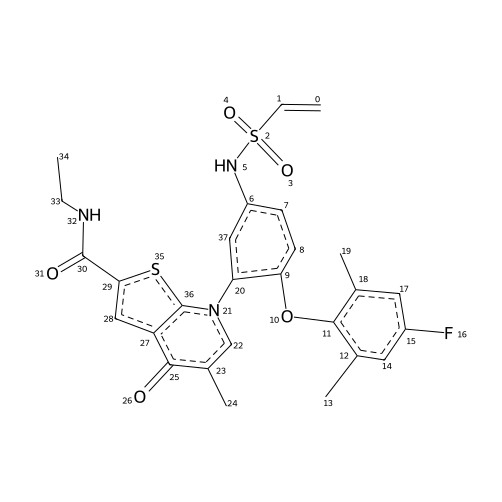 C=CS(=O)(=O)Nc1ccc(Oc2c(C)cc(F)cc2C)c(-n2cc(C)c(=O)c3cc(C(=O)NCC)sc32)c1